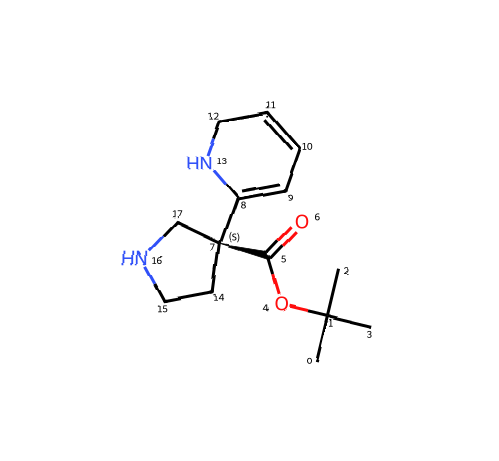 CC(C)(C)OC(=O)[C@@]1(C2=CC=[C]CN2)CCNC1